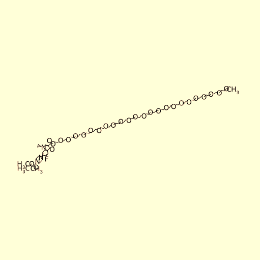 COCCOCCOCCOCCOCCOCCOCCOCCOCCOCCOCCOCCOCCOCCOCCOCCOCCOCCOCCOCCOCCOCCOCCOC(=O)c1cn(C2CC2)c2cc(N3CCN(C(=O)OC(C)(C)C)CC3)c(F)cc2c1=O